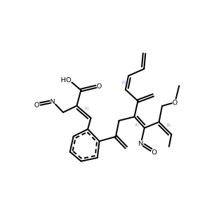 C=C/C=C\C(=C)/C(CC(=C)c1ccccc1/C=C(\CN=O)C(=O)O)=C(N=O)\C(=C/C)COC